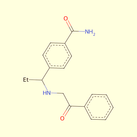 CCC(NCC(=O)c1ccccc1)c1ccc(C(N)=O)cc1